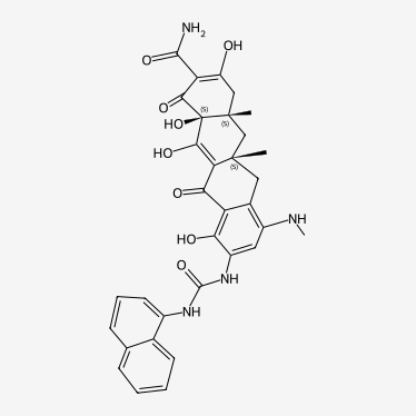 CNc1cc(NC(=O)Nc2cccc3ccccc23)c(O)c2c1C[C@@]1(C)C[C@@]3(C)CC(O)=C(C(N)=O)C(=O)[C@@]3(O)C(O)=C1C2=O